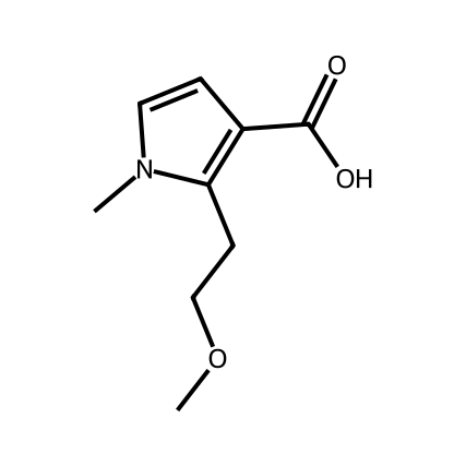 COCCc1c(C(=O)O)ccn1C